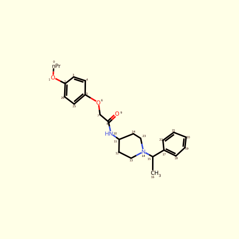 CCCOc1ccc(OCC(=O)NC2CCN(C(C)c3ccccc3)CC2)cc1